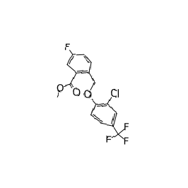 COC(=O)c1cc(F)ccc1COc1ccc(C(F)(F)F)cc1Cl